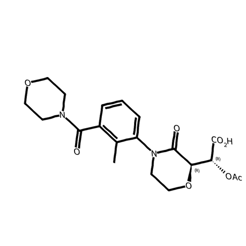 CC(=O)O[C@@H](C(=O)O)[C@H]1OCCN(c2cccc(C(=O)N3CCOCC3)c2C)C1=O